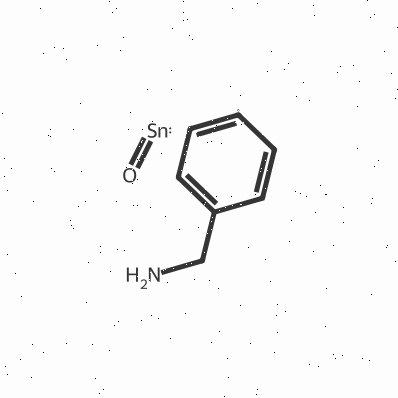 NCc1cc[c]cc1.[O]=[Sn]